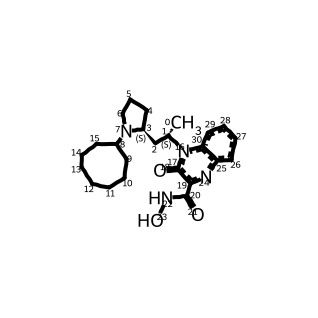 C[C@@H](C[C@@H]1CCCN1C1CCCCCCC1)n1c(=O)c(C(=O)NO)nc2ccccc21